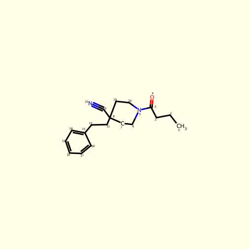 CCCC(=O)N1CCC(C#N)(CCc2ccccc2)CC1